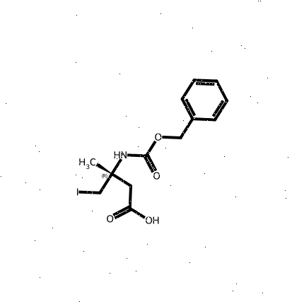 C[C@](CI)(CC(=O)O)NC(=O)OCc1ccccc1